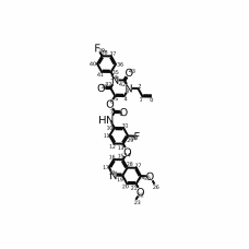 C=CCn1cc(OC(=O)Nc2ccc(Oc3ccnc4cc(OC)c(OC)cc34)c(F)c2)c(=O)n(-c2ccc(F)cc2)c1=O